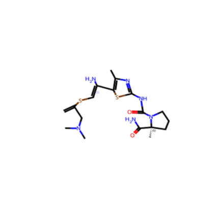 C=C(CN(C)C)S/C=C(\N)c1sc(NC(=O)N2CCC[C@@]2(C)C(N)=O)nc1C